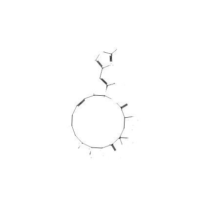 C/C(=C\c1csc(C)n1)[C@@H]1C/C=C\CCC[C@H](C)[C@H](O)[C@@H](C)C(=O)C(C)(C)[C@@H](O)C(C)C(=O)O1